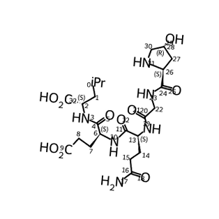 CC(C)C[C@H](NC(=O)[C@H](CCC(=O)O)NC(=O)[C@H](CCC(N)=O)NC(=O)CNC(=O)[C@@H]1C[C@@H](O)CN1)C(=O)O